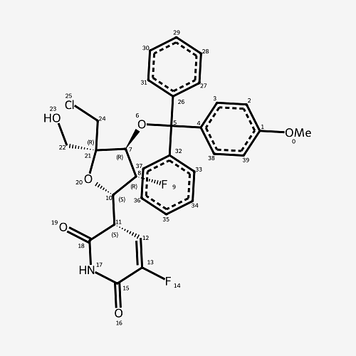 COc1ccc(C(O[C@H]2[C@H](F)[C@H]([C@@H]3C=C(F)C(=O)NC3=O)O[C@@]2(CO)CCl)(c2ccccc2)c2ccccc2)cc1